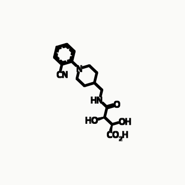 N#Cc1ccccc1N1CCC(CNC(=O)[C@H](O)[C@@H](O)C(=O)O)CC1